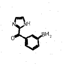 Bc1cccc(C(=O)c2ncc[nH]2)c1